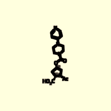 CC(=O)N1C[C@H](OC(=O)N2CCN(c3ccncc3)CC2)C[C@H]1C(=O)O